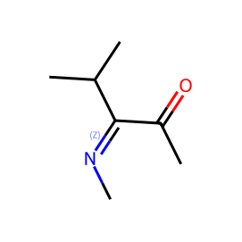 C/N=C(\C(C)=O)C(C)C